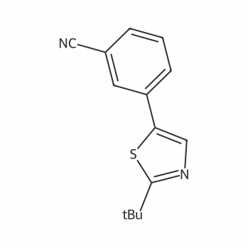 CC(C)(C)c1ncc(-c2cccc(C#N)c2)s1